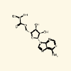 CCN(O)C(=O)OC[C@H]1O[C@@H](n2cnc3c(N)ncnc32)[C@H](O)[C@@H]1O